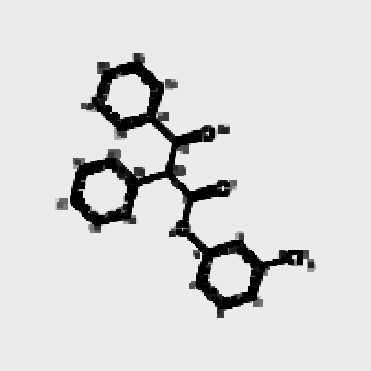 O=C(Oc1cccc(C(F)(F)F)c1)C(C(=O)c1cccnc1)c1ccccc1